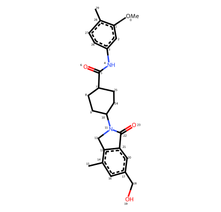 COc1cc(NC(=O)C2CCC(N3Cc4c(C)cc(CO)cc4C3=O)CC2)ccc1C